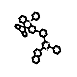 c1ccc(-c2nc(-c3cccc(-c4ccc5c(c4)N(c4ccccc4)c4ccccc4C54c5ccccc5-c5ccccc54)c3)cc(-c3ccc4ccccc4c3)n2)cc1